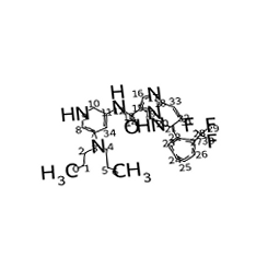 CCCN(CCC)C1=CNCC(NC(=O)c2cnc3n2NC(c2ccccc2C(F)(F)F)C=C3)=C1